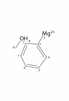 CO.[Mg+2][c]1ccccc1